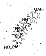 COc1cccc(C(C)(C)NC(=O)C2CC[C@H]3[C@@H]4CC=C5C=C(OC(=O)O)CC[C@]5(C)[C@H]4CC[C@]23C)c1